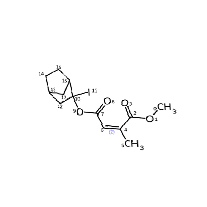 COC(=O)/C(C)=C\C(=O)OC1(I)CC2CCC1C2